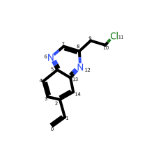 C=Cc1ccc2ncc(CCCl)nc2c1